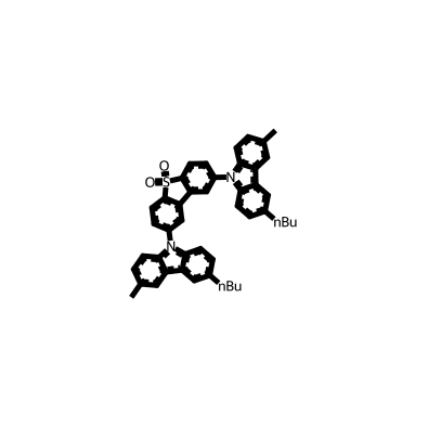 CCCCc1ccc2c(c1)c1cc(C)ccc1n2-c1ccc2c(c1)-c1cc(-n3c4ccc(C)cc4c4cc(CCCC)ccc43)ccc1S2(=O)=O